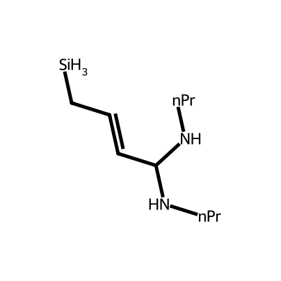 CCCNC(C=CC[SiH3])NCCC